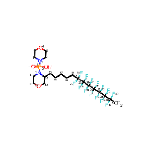 O=P(O)(N1CCOCC1)N1CCOCC1CCCCCC(F)(F)C(F)(F)C(F)(F)C(F)(F)C(F)(F)C(F)(F)C(F)(F)C(F)(F)F